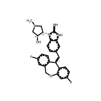 CN1C[C@H](O)[C@@H](n2c(=N)[nH]c3cc(/C=C4\c5ccc(F)cc5COc5cc(F)ccc54)ccc32)C1